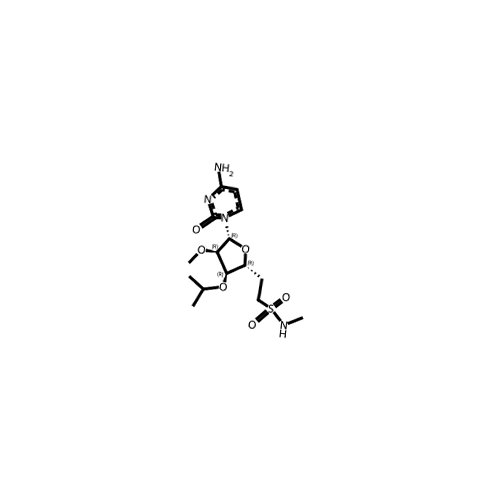 CNS(=O)(=O)CC[C@H]1O[C@@H](n2ccc(N)nc2=O)[C@H](OC)[C@@H]1OC(C)C